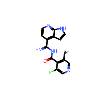 CC(C)c1cncc(F)c1C(=O)NC(=N)c1ccnc2[nH]ccc12